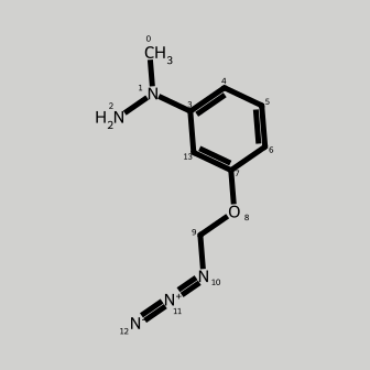 CN(N)c1cccc(OCN=[N+]=[N-])c1